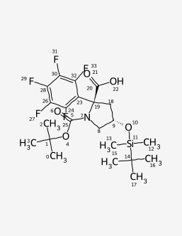 CC(C)(C)OC(=O)N1C[C@@H](O[Si](C)(C)C(C)(C)C)C[C@@]1(C(=O)O)c1c(F)c(F)c(F)c(F)c1F